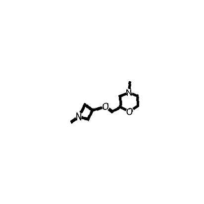 CN1CCOC(COC2CN(C)C2)C1